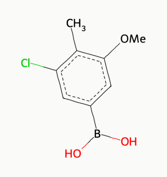 COc1cc(B(O)O)cc(Cl)c1C